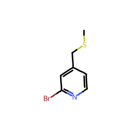 CSCc1ccnc(Br)c1